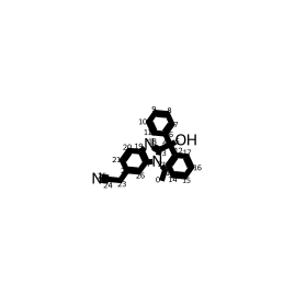 CCn1c(C(O)(c2ccccc2)c2ccccc2)nc2ccc(CC#N)cc21